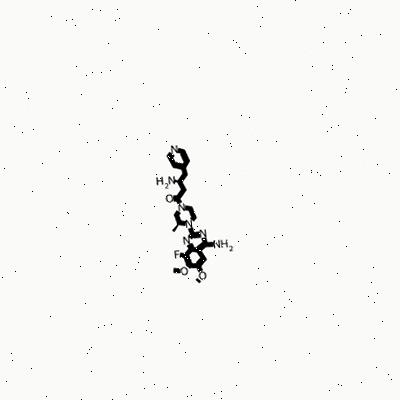 COc1cc2c(N)nc(N3CCN(C(=O)C[C@@H](N)Cc4ccncc4)C[C@@H]3C)nc2c(F)c1OC